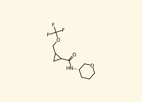 O=C(N[C@H]1CCCOC1)C1CC1COC(F)(F)F